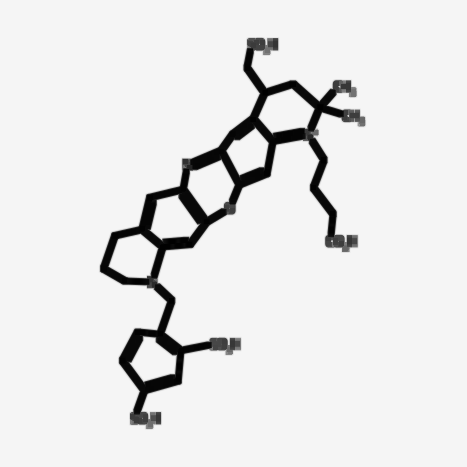 CC1(C)CC(CS(=O)(=O)O)c2cc3c(cc2=[N+]1CCCC(=O)O)Oc1cc2c(cc1N=3)CCCN2Cc1ccc(S(=O)(=O)O)cc1S(=O)(=O)O